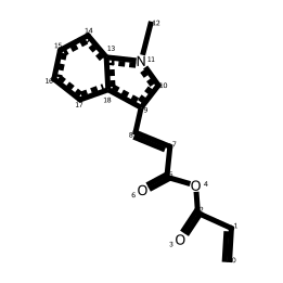 C=CC(=O)OC(=O)/C=C/c1cn(C)c2ccccc12